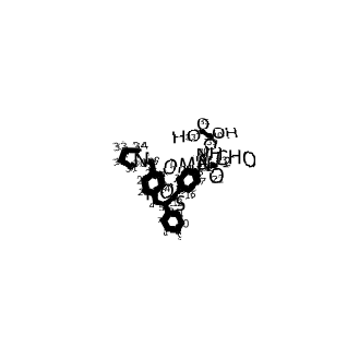 COc1cc(CC2c3ccccc3SC2(O)c2ccc(N(N)C(=O)C=O)cc2)ccc1CN1CCCC1.O=C(O)C(=O)O